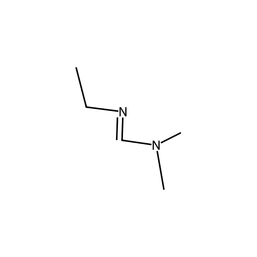 CC/N=C/N(C)C